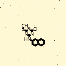 CSc1nc(Cl)nc(Nc2ccc3ccccc3c2)n1